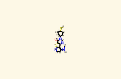 CSc1ccc(-n2cnc3c(sc4nccc(N(C)C)c43)c2=O)cc1